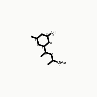 COC(C)CC(C)C1CC(C)CC(O)C1